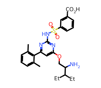 CCC(CC)C(N)COc1cc(-c2c(C)cccc2C)nc(NS(=O)(=O)c2cccc(C(=O)O)c2)n1